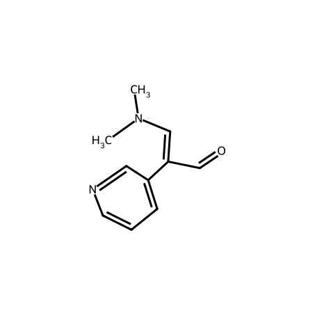 CN(C)/C=C(/C=O)c1cccnc1